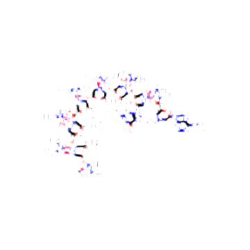 CC(C)N1C[C@@H](COP(=O)(N(C)C)N2C[C@@H](COP(=O)(N(C)C)N3C[C@@H](COP(=O)(N(C)C)N4C[C@@H](COP(=O)(N(C)C)N5C[C@@H](COP(=O)(N(C)C)N6C[C@@H](COP(=O)(N(C)C)N7C[C@@H](COP(=O)(C(C)C)N(C)C)O[C@@H](C)C7)O[C@@H](C)C6)O[C@@H](C)C5)O[C@@H](C)C4)O[C@@H](C)C3)O[C@@H](n3cnc4c(=O)[nH]c(N)nc43)C2)O[C@@H](n2cnc3c(N)ncnc32)C1